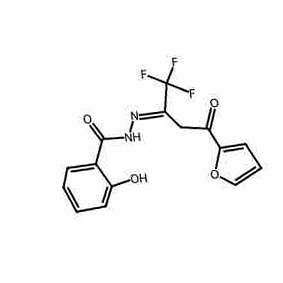 O=C(C/C(=N\NC(=O)c1ccccc1O)C(F)(F)F)c1ccco1